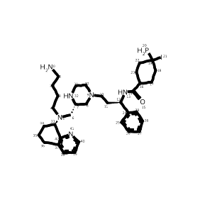 NCCCCN(C[C@H]1CN(CC[C@@H](NC(=O)C2CCC(P)(I)CC2)c2ccccc2)CCN1)[C@H]1CCCc2cccnc21